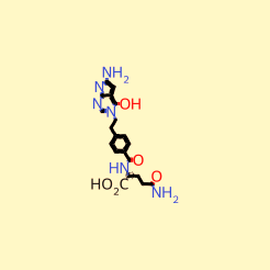 NC(=O)CC[C@H](NC(=O)c1ccc(CCn2cnc3nc(N)cc-3c2O)cc1)C(=O)O